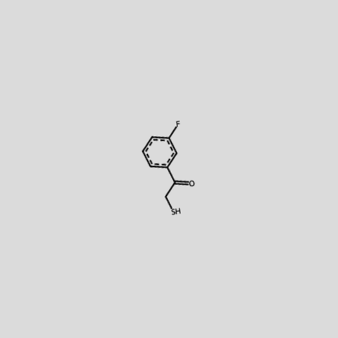 O=C(CS)c1cccc(F)c1